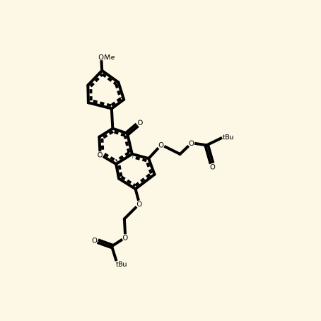 COc1ccc(-c2coc3cc(OCOC(=O)C(C)(C)C)cc(OCOC(=O)C(C)(C)C)c3c2=O)cc1